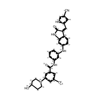 N#Cc1c[nH]c(C=C2C(=O)Nc3cc(Nc4cccc(NC(=O)c5cc(N6CCC(O)CC6)cc(C(F)(F)F)c5)c4)ccc32)c1